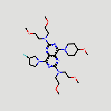 COCCN(CCOC)c1nc(N2CCC(F)C2)c2nc(N(CCOC)CCOC)nc(N3CCC(OC)CC3)c2n1